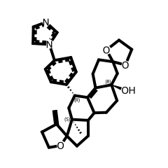 C=C1CCOC12CCC1C3CC[C@@]4(O)CC5(CCC4=C3[C@@H](c3ccc(-n4ccnc4)cc3)C[C@@]12C)OCCO5